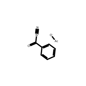 CC(=O)[O-].N#[N+]C(=O)c1ccccc1